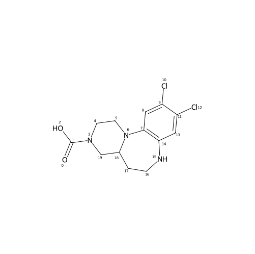 O=C(O)N1CCN2c3cc(Cl)c(Cl)cc3NCCC2C1